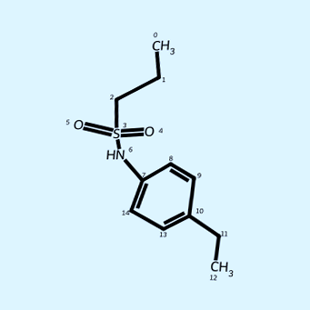 CCCS(=O)(=O)Nc1ccc(CC)cc1